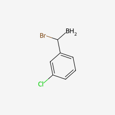 BC(Br)c1cccc(Cl)c1